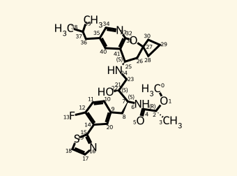 CO[C@H](C)C(=O)N[C@@H](Cc1ccc(F)c(-c2nccs2)c1)[C@@H](O)CN[C@H]1CC2(CCC2)Oc2ncc(CC(C)C)cc21